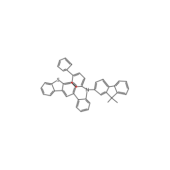 CC1(C)c2ccccc2-c2ccc(N(c3ccc(-c4ccccc4)cc3)c3ccccc3-c3ccc4sc5ccccc5c4c3)cc21